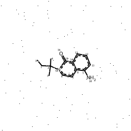 CCC(C)(C)n1ccc2c(N)cccc2c1=O